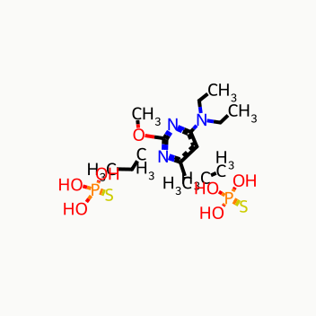 CC.CCC.CCN(CC)c1cc(C)nc(OC)n1.OP(O)(O)=S.OP(O)(O)=S